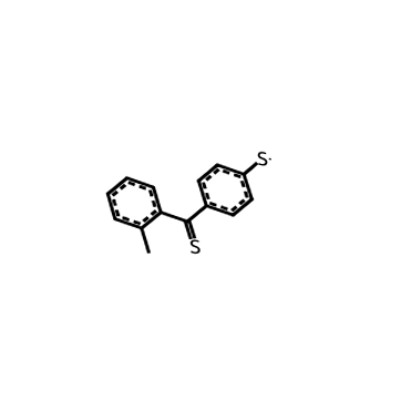 Cc1ccccc1C(=S)c1ccc([S])cc1